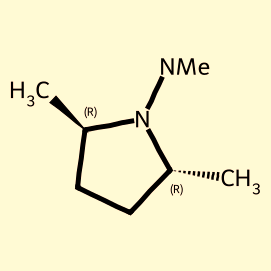 CNN1[C@H](C)CC[C@H]1C